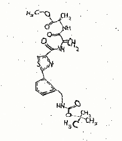 C=C(NC(=O)c1csc(-c2cccc(CNC(=O)OC(C)(C)C)c2)n1)C(=O)NC(=C)C(=O)OC